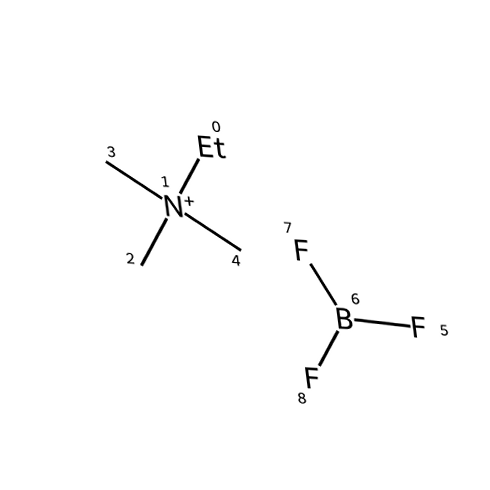 CC[N+](C)(C)C.FB(F)F